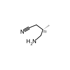 C[C@H](CN)CC#N